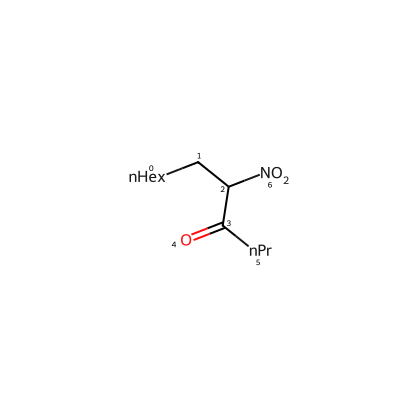 CCCCCCCC(C(=O)CCC)[N+](=O)[O-]